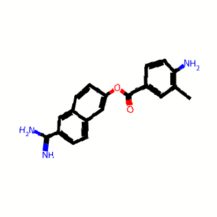 Cc1cc(C(=O)Oc2ccc3cc(C(=N)N)ccc3c2)ccc1N